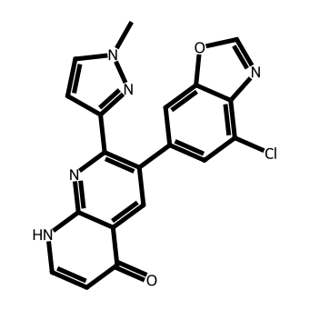 Cn1ccc(-c2nc3[nH]ccc(=O)c3cc2-c2cc(Cl)c3ncoc3c2)n1